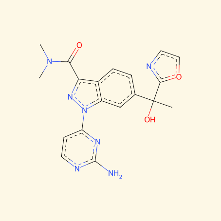 CN(C)C(=O)c1nn(-c2ccnc(N)n2)c2cc(C(C)(O)c3ncco3)ccc12